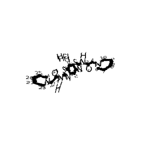 Cl.Cl.O=C(CN1CCCCC1)Nc1nc2cc3nc(NC(=O)CN4CCCCC4)sc3cc2s1